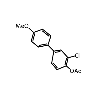 COc1ccc(-c2ccc(OC(C)=O)c(Cl)c2)cc1